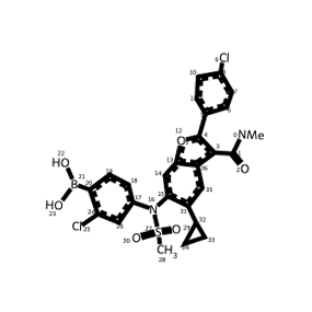 CNC(=O)c1c(-c2ccc(Cl)cc2)oc2cc(N(c3ccc(B(O)O)c(Cl)c3)S(C)(=O)=O)c(C3CC3)cc12